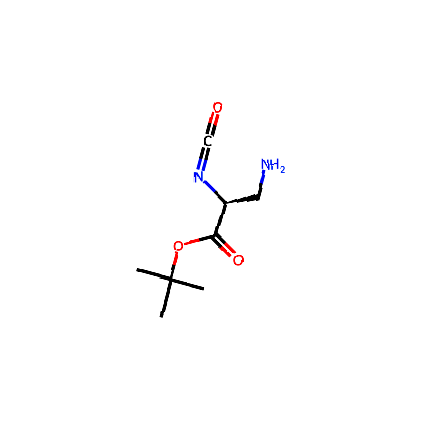 CC(C)(C)OC(=O)[C@H](CN)N=C=O